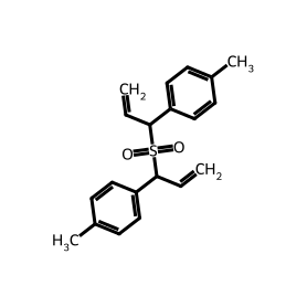 C=CC(c1ccc(C)cc1)S(=O)(=O)C(C=C)c1ccc(C)cc1